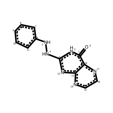 O=c1[nH]c(NNc2ccccc2)nc2nccnc12